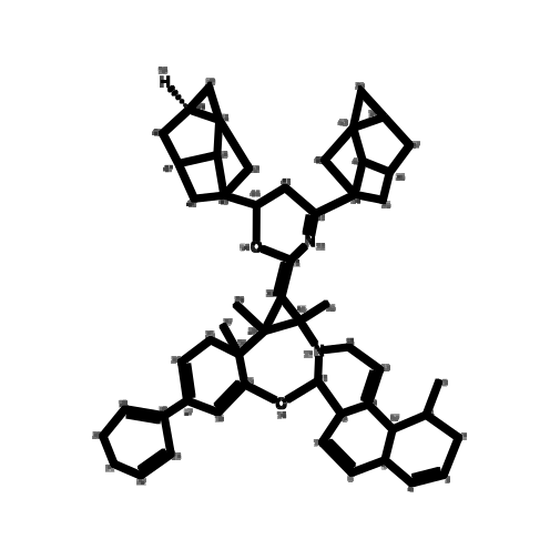 CC1CC=CC2C=CC3C(=CCN4C3OC3=CC(C5=CCCC=C5)=CCC3(C)C3(C)/C(=C5/N=C(C67CC8CC9CC9(C6)C87)CC(C67CC8C[C@H]9CC9(C6)C87)O5)C43C)C21